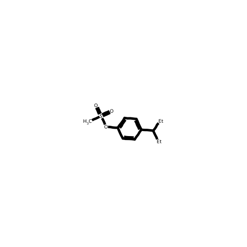 CCC(CC)c1ccc(OS(C)(=O)=O)cc1